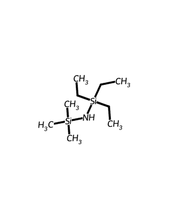 CC[Si](CC)(CC)N[Si](C)(C)C